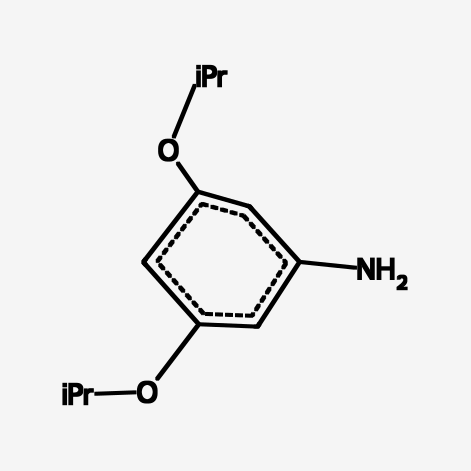 CC(C)Oc1cc(N)cc(OC(C)C)c1